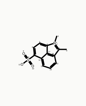 CC1=[N+](C)c2ccc(S(=O)(=O)[O-])c3cccc1c23